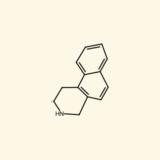 [C]1Cc2c(ccc3ccccc23)CN1